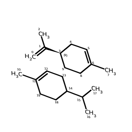 C=C(C)[C@H]1CC=C(C)CC1.CC1=CCC(C(C)C)CC1